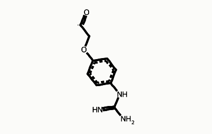 N=C(N)Nc1ccc(OC[C]=O)cc1